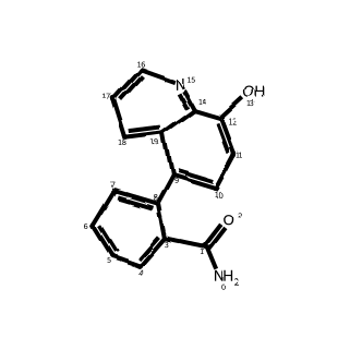 NC(=O)c1ccccc1-c1ccc(O)c2ncccc12